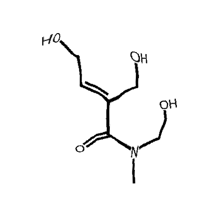 CN(CO)C(=O)C(=CCO)CO